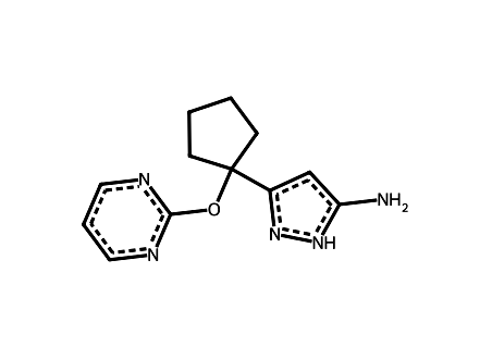 Nc1cc(C2(Oc3ncccn3)CCCC2)n[nH]1